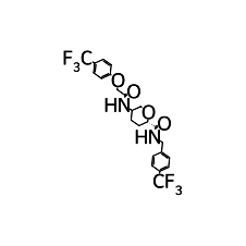 O=C(COc1ccc(C(F)(F)F)cc1)N[C@@H]1CC[C@@H](C(=O)NCc2ccc(C(F)(F)F)cc2)OC1